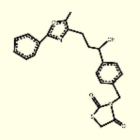 Cc1oc(-c2ccccc2)nc1CCC(O)c1ccc(CN2C(=O)CSC2=O)cc1